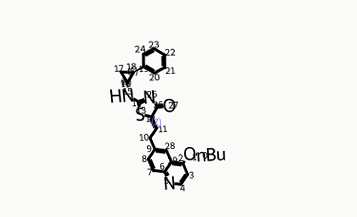 CCCCOc1ccnc2ccc(C/C=C3\SC(N[C@@H]4C[C@H]4c4ccccc4)=NC3=O)cc12